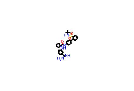 CC(C)(C)NS(=O)(=O)c1ccccc1-c1ccc(NC(=O)C2(Nc3cccc(C(=N)N)c3)CCCC2)cc1